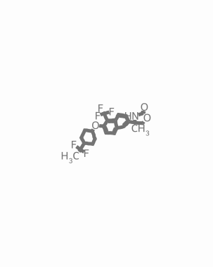 CC(F)(F)C1CCC(Oc2ccc3cc([C@]4(C)COC(=O)N4)ccc3c2C(F)(F)F)CC1